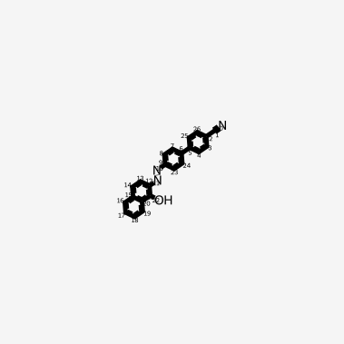 N#Cc1ccc(-c2ccc(/N=N/c3ccc4ccccc4c3O)cc2)cc1